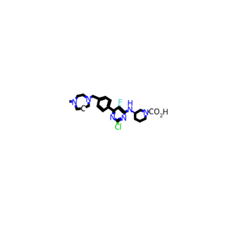 CN1CCCN(Cc2ccc(-c3nc(Cl)nc(N[C@@H]4CCCN(C(=O)O)C4)c3F)cc2)CC1